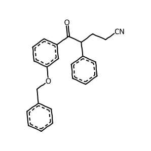 N#CCCC(C(=O)c1cccc(OCc2ccccc2)c1)c1ccccc1